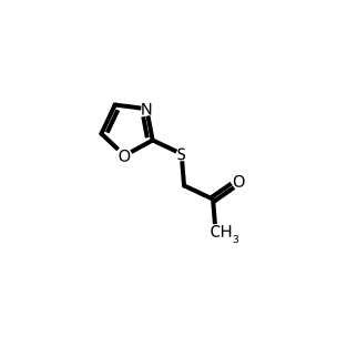 CC(=O)CSc1ncco1